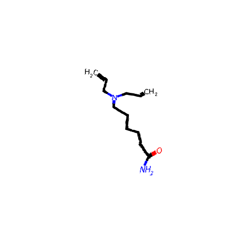 C=CCN(CC=C)CCCCCC(N)=O